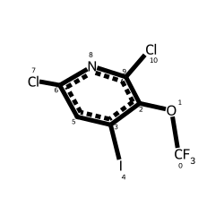 FC(F)(F)Oc1c(I)cc(Cl)nc1Cl